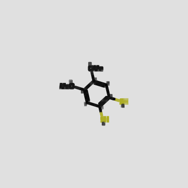 COc1cc(S)c(S)cc1OC